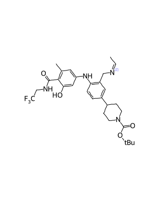 C/C=N\Cc1cc(C2CCN(C(=O)OC(C)(C)C)CC2)ccc1Nc1cc(C)c(C(=O)NCC(F)(F)F)c(O)c1